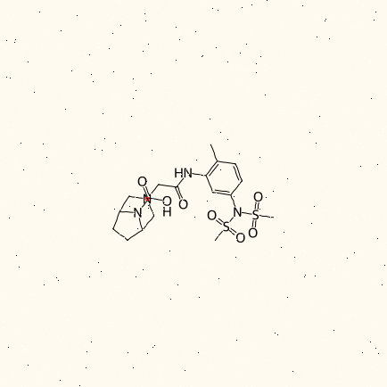 Cc1ccc(N(S(C)(=O)=O)S(C)(=O)=O)cc1NC(=O)CN1CC2CCC(C1)N2C(=O)O